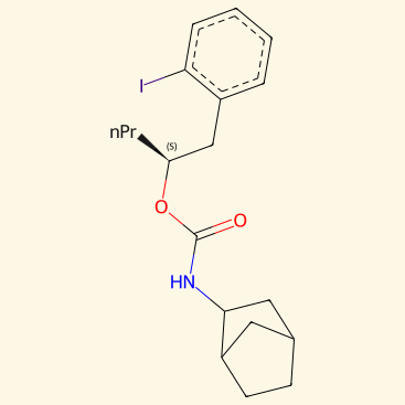 CCC[C@@H](Cc1ccccc1I)OC(=O)NC1CC2CCC1C2